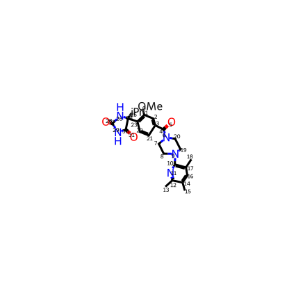 COc1cc(C(=O)N2CCN(c3nc(C)c(C)cc3C)CC2)ccc1C1(C(C)C)NC(=O)NC1=O